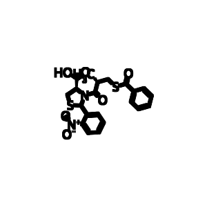 C[C@H](CSC(=O)c1ccccc1)C(=O)N1C(c2ccccc2[N+](=O)[O-])SC[C@H]1C(=O)O